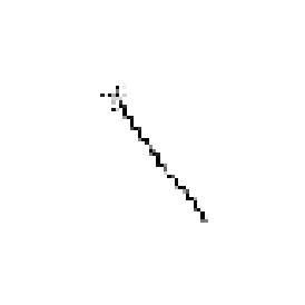 [CH2]C(=O)OCCCCCCCCCCCCCCCCCCCC